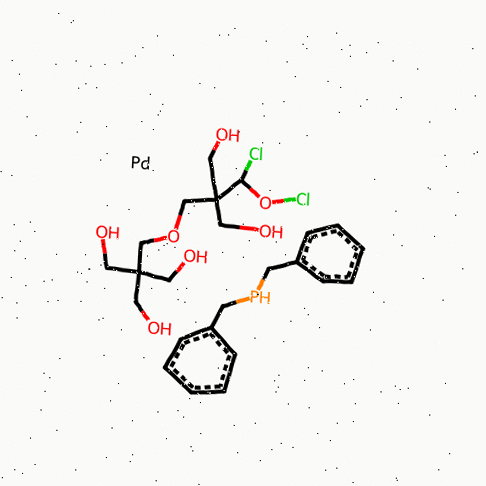 OCC(CO)(CO)COCC(CO)(CO)C(Cl)OCl.[Pd].c1ccc(CPCc2ccccc2)cc1